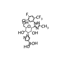 Cc1nc([C@@H]2O[C@H](CO)[C@H](O)[C@H](n3cc(B(O)O)cn3)[C@H]2O)n(-c2cc(Cl)c(F)cc2C(F)(F)F)n1